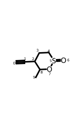 C#CC1CCS(=O)OC1C